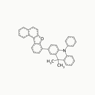 CC1(C)c2ccccc2N(c2ccccc2)c2ccc(-c3cccc4c3oc3ccc5ccccc5c34)cc21